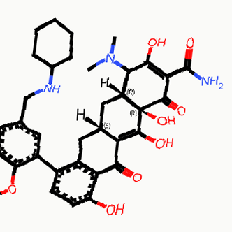 COc1ccc(CNC2CCCCC2)cc1-c1ccc(O)c2c1C[C@@H]1C[C@@H]3C(N(C)C)C(O)=C(C(N)=O)C(=O)[C@]3(O)C(O)=C1C2=O